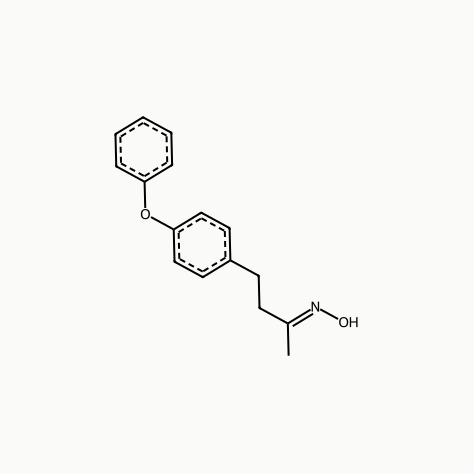 CC(CCc1ccc(Oc2ccccc2)cc1)=NO